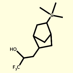 C[Si](C)(C)C1CC2CC1CC2CC(O)C(F)(F)F